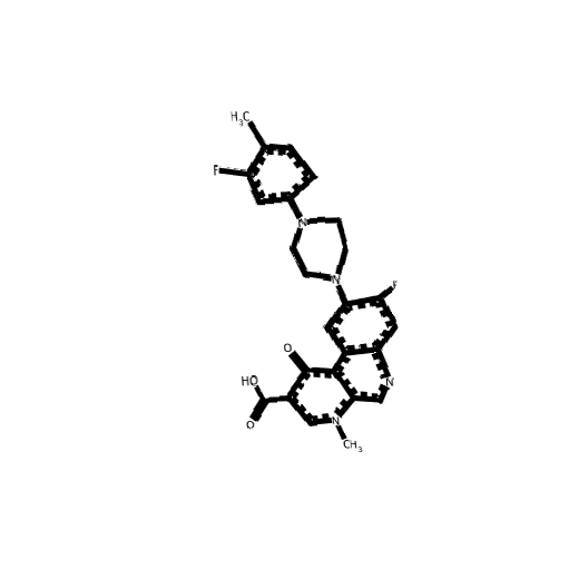 Cc1ccc(N2CCN(c3cc4c(cc3F)ncc3c4c(=O)c(C(=O)O)cn3C)CC2)cc1F